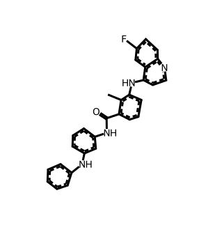 Cc1c(Nc2ccnc3ccc(F)cc23)cccc1C(=O)Nc1cccc(Nc2ccccc2)c1